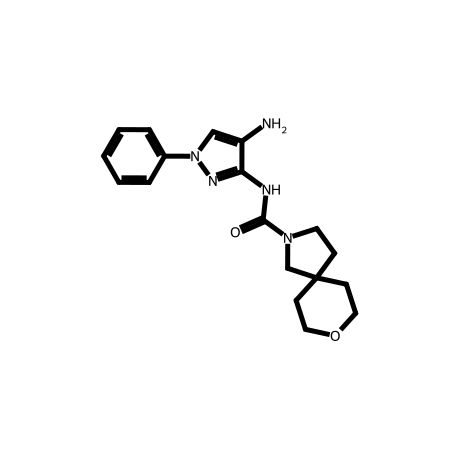 Nc1cn(-c2ccccc2)nc1NC(=O)N1CCC2(CCOCC2)C1